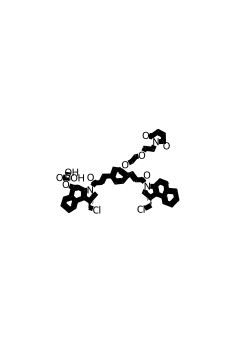 O=C1C=CC(=O)N1CCOCCOc1cc(C=CC(=O)N2C[C@@H](CCl)c3c2cc(OP(=O)(O)O)c2ccccc32)ccc1C=CC(=O)N1C[C@@H](CCl)c2c1c[c]c1ccccc21